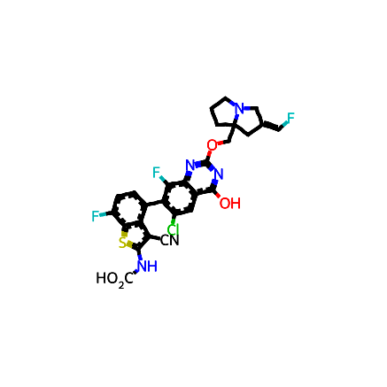 N#Cc1c(NC(=O)O)sc2c(F)ccc(-c3c(Cl)cc4c(O)nc(OCC56CCCN5C/C(=C\F)C6)nc4c3F)c12